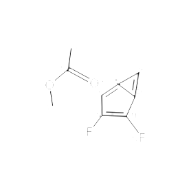 COC(C)=O.Fc1cc2cc-2c1F